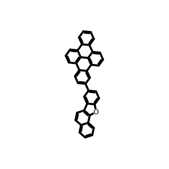 c1ccc2c(c1)ccc1c3cc(-c4ccc5c(c4)c4cccc6c7ccccc7c7cccc5c7c64)ccc3oc21